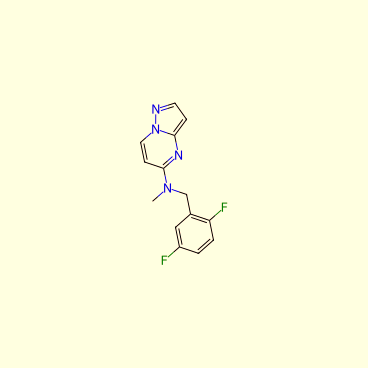 CN(Cc1cc(F)ccc1F)c1ccn2nccc2n1